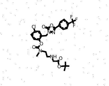 CN(CCNCC(=O)OC(C)(C)C)C(=O)Oc1ccc(Cl)cc1Cn1nc(-c2ccc(C(F)(F)F)cc2)oc1=O